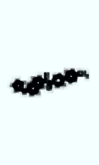 Cc1ccc(C2CCN(C(=O)Nc3ccc4cc(CN5CCCC5)ccc4c3)CC2)cc1